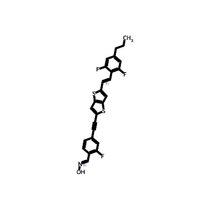 CCCc1cc(F)c(/C=C/c2cc3sc(C#Cc4ccc(/C=N/O)c(F)c4)cc3s2)c(F)c1